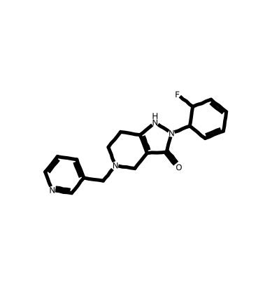 O=c1c2c([nH]n1C1C=CC=CC1F)CCN(Cc1cccnc1)C2